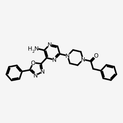 Nc1ncc(N2CCN(C(=O)Cc3ccccc3)CC2)nc1-c1nnc(-c2ccccc2)o1